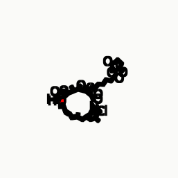 C/C1=C\C=C\C(C)C2(O)CC(OC(=O)N2)C(C)C2OC2(C)C(OC(=O)CCCCC(=O)ON2C(=O)CCC2=O)CC(=O)N(C)c2cc(cc(C)c2Cl)C1